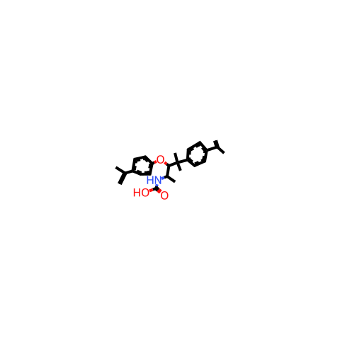 C=C(C)c1ccc(OC(C(C)NC(=O)O)C(C)(C)c2ccc(C(=C)C)cc2)cc1